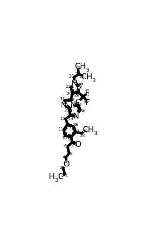 CCCOCCCC(=O)c1ccc(Cc2nccn3c(-c4cn(CC(C)C)nc4C(F)(F)F)cnc23)cc1CC